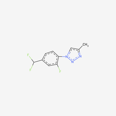 Cc1cn(-c2ccc(C(F)F)cc2F)nn1